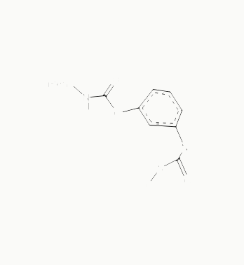 CCCC(C)NC(=O)Oc1cccc(NC(=O)SCC)c1